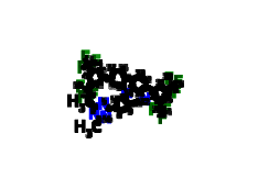 Cc1nc(C)nc(-c2ccc(C#N)c(-n3c4cc(-c5cc(C(F)(F)F)cc(C(F)(F)F)c5)ccc4c4ccc(-c5cc(C(F)(F)F)cc(C(F)(F)F)c5)cc43)c2)n1